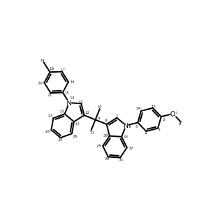 COc1ccc(-n2cc(C(C)(C)c3cn(-c4ccc(C)cc4)c4ccccc34)c3ccccc32)cc1